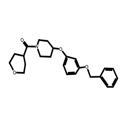 O=C(C1CCOCC1)N1CCC(Oc2cccc(OCc3ccccc3)c2)CC1